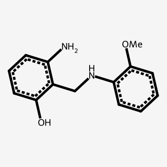 COc1ccccc1NCc1c(N)cccc1O